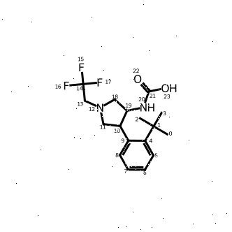 CC(C)(C)c1ccccc1C1CN(CC(F)(F)F)CC1NC(=O)O